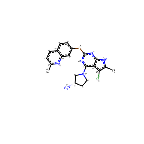 CCc1[nH]c2nc(Sc3ccc4ccc(C(C)=O)nc4c3)nc(N3CC[C@H](N)C3)c2c1Cl